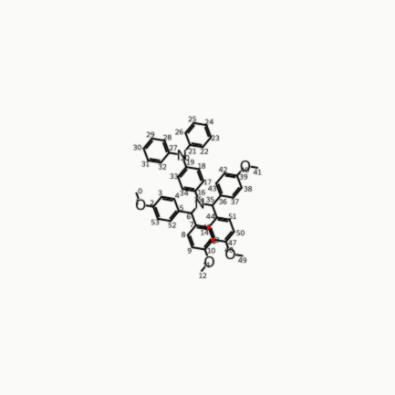 COc1ccc(C(c2ccc(OC)cc2)N(c2ccc(N(c3ccccc3)c3ccccc3)cc2)C(c2ccc(OC)cc2)c2ccc(OC)cc2)cc1